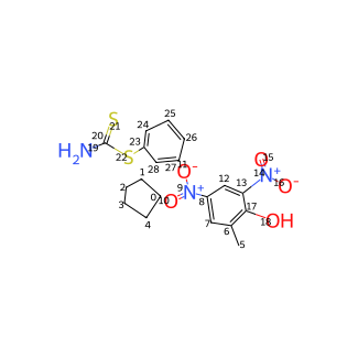 C1CCCC1.Cc1cc([N+](=O)[O-])cc([N+](=O)[O-])c1O.NC(=S)Sc1ccccc1